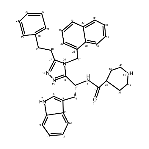 O=C(N[C@H](Cc1c[nH]c2ccccc12)c1nnc(CCc2ccccc2)n1Cc1cccc2ccccc12)C1CCNCC1